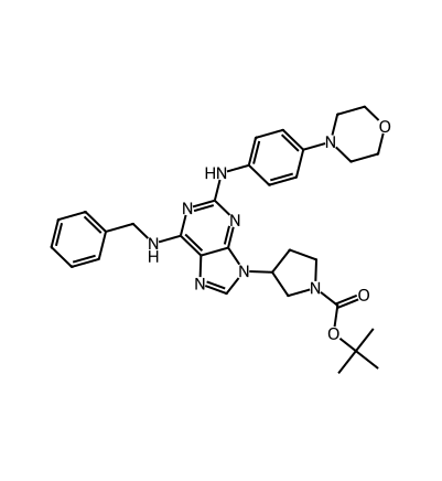 CC(C)(C)OC(=O)N1CCC(n2cnc3c(NCc4ccccc4)nc(Nc4ccc(N5CCOCC5)cc4)nc32)C1